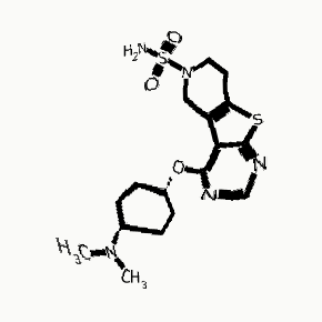 CN(C)[C@H]1CC[C@H](Oc2ncnc3sc4c(c23)CN(S(N)(=O)=O)CC4)CC1